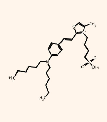 CCCCCCN(CCCCCC)c1ccc(/C=C/c2scc(C)[n+]2CCCCS(=O)(=O)O)cc1